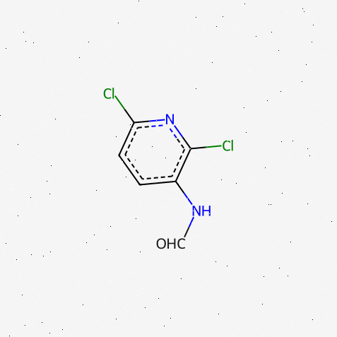 O=CNc1ccc(Cl)nc1Cl